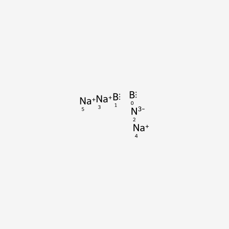 [B].[B].[N-3].[Na+].[Na+].[Na+]